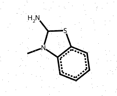 CN1c2ccccc2SC1N